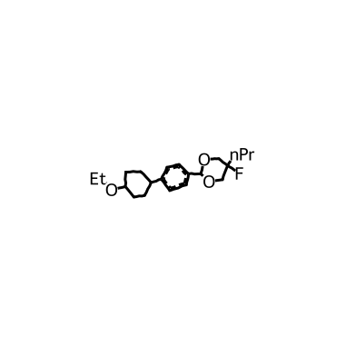 CCCC1(F)COC(c2ccc(C3CCC(OCC)CC3)cc2)OC1